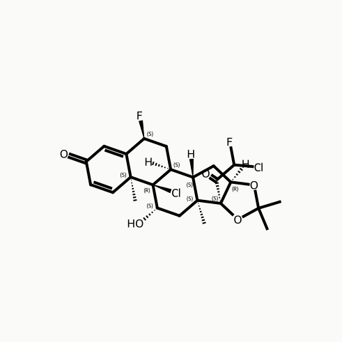 CC1(C)O[C@@H]2C[C@H]3[C@@H]4C[C@H](F)C5=CC(=O)C=C[C@]5(C)[C@@]4(Cl)[C@@H](O)C[C@]3(C)[C@]2(C(=O)C(F)Cl)O1